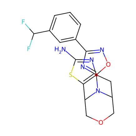 Nc1nc2c(s1)C1COCC(C2)N1c1nc(-c2cccc(C(F)F)c2)no1